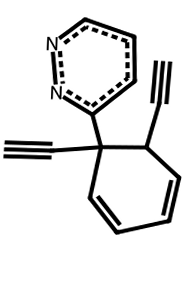 C#CC1C=CC=CC1(C#C)c1cccnn1